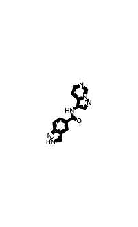 O=C(Nc1cnn2cnccc12)c1ccc2n[nH]cc2c1